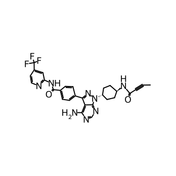 CC#CC(=O)N[C@H]1CC[C@H](n2nc(-c3ccc(C(=O)Nc4cc(C(F)(F)F)ccn4)cc3)c3c(N)ncnc32)CC1